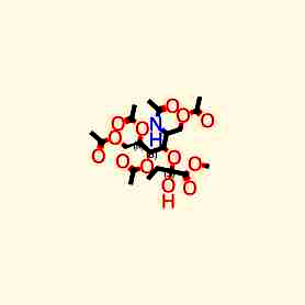 CC[C@](O)(OC(C(COC(C)=O)NC(C)=O)[C@H](OC(C)=O)[C@@H](COC(C)=O)OC(C)=O)C(=O)OC